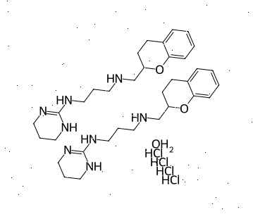 Cl.Cl.Cl.Cl.O.c1ccc2c(c1)CCC(CNCCCNC1=NCCCN1)O2.c1ccc2c(c1)CCC(CNCCCNC1=NCCCN1)O2